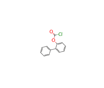 O=C(Cl)Oc1ccccc1-c1ccccc1